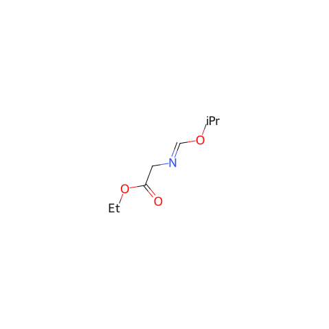 CCOC(=O)CN=COC(C)C